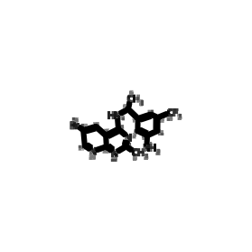 Cc1nc(NC(C)c2cc(N)cc(C(F)(F)F)c2)c2cc(Br)cnc2n1